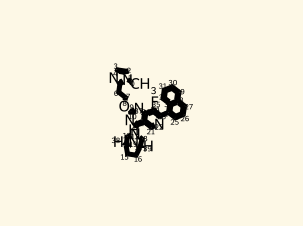 Cn1ccnc1CCOc1nc(N2C[C@H]3CC[C@@H](C2)N3)c2cnc(-c3cccc4ccccc34)c(F)c2n1